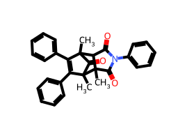 CC12C(=O)C(C)(C(c3ccccc3)=C1c1ccccc1)C1(C)C(=O)N(c3ccccc3)C(=O)C21